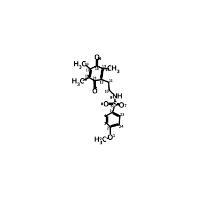 COc1ccc(S(=O)(=O)NCCC2=C(C)C(=O)C(C)=C(C)C2=O)cc1